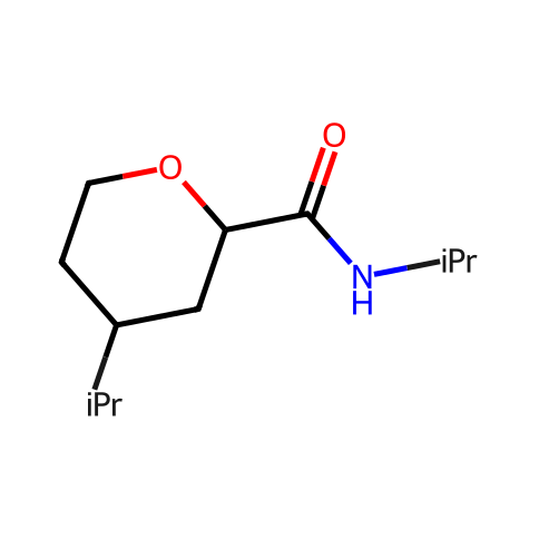 CC(C)NC(=O)C1CC(C(C)C)CCO1